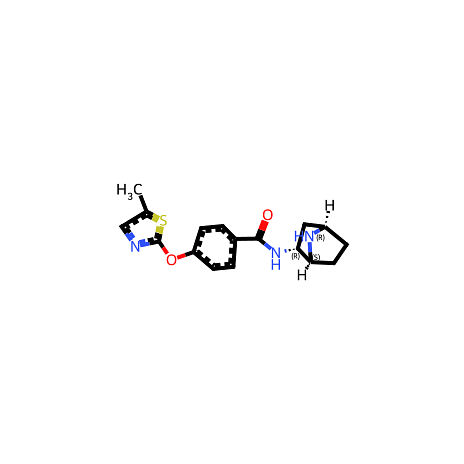 Cc1cnc(Oc2ccc(C(=O)N[C@@H]3C[C@H]4CC[C@@H]3N4)cc2)s1